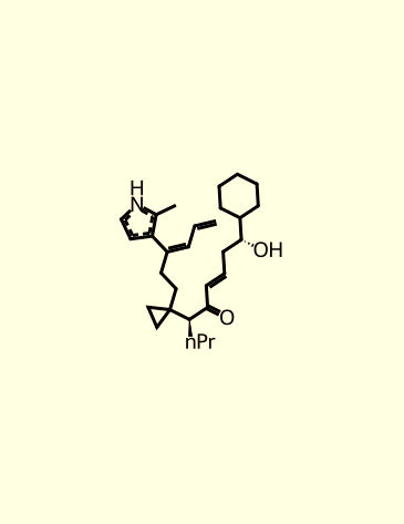 C=C/C=C(/CCC1([C@H](CCC)C(=O)/C=C/C[C@@H](O)C2CCCCC2)CC1)c1cc[nH]c1C